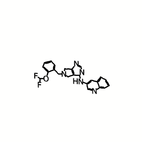 FC(F)Oc1ccccc1CN1Cc2ncnc(Nc3cnc4ccccc4c3)c2C1